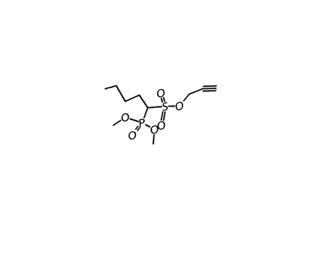 C#CCOS(=O)(=O)C(CCCC)P(=O)(OC)OC